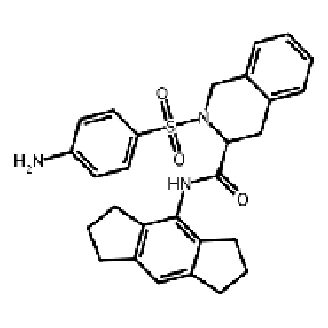 Nc1ccc(S(=O)(=O)N2Cc3ccccc3C[C@H]2C(=O)Nc2c3c(cc4c2CCC4)CCC3)cc1